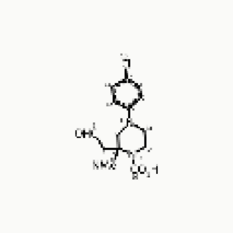 CNC1(CC=O)CN(c2ccc(Cl)cc2)CCN1C(=O)O